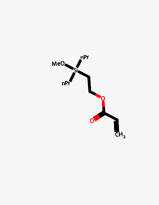 C=CC(=O)OCC[Si](CCC)(CCC)OC